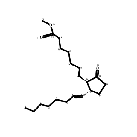 CCCCCC/C=C/[C@H]1CCC(=O)[C@@H]1CCCCCCC(=O)OC